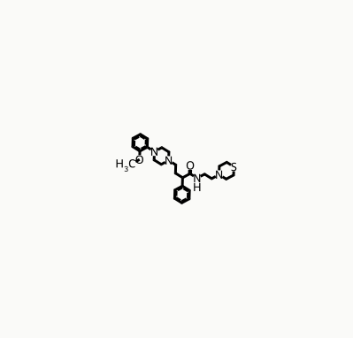 COc1ccccc1N1CCN(CCC(C(=O)NCCN2CCSCC2)c2ccccc2)CC1